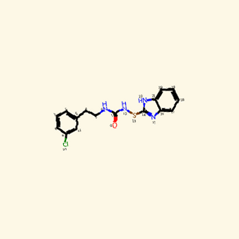 O=C(NCCc1cccc(Cl)c1)NSc1nc2ccccc2[nH]1